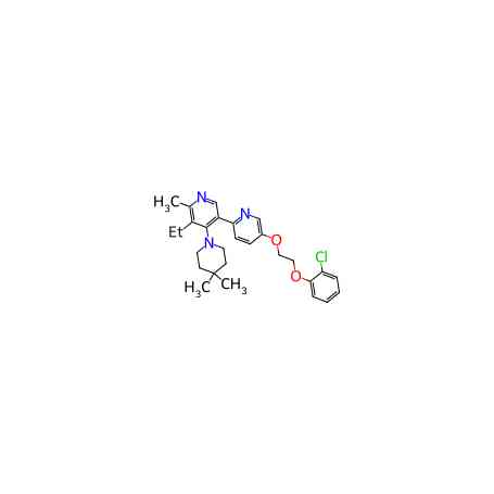 CCc1c(C)ncc(-c2ccc(OCCOc3ccccc3Cl)cn2)c1N1CCC(C)(C)CC1